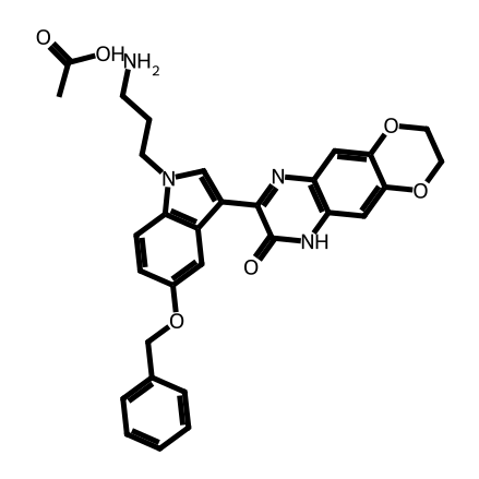 CC(=O)O.NCCCn1cc(-c2nc3cc4c(cc3[nH]c2=O)OCCO4)c2cc(OCc3ccccc3)ccc21